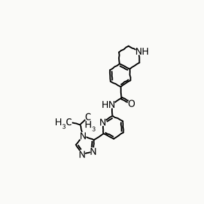 CC(C)n1cnnc1-c1cccc(NC(=O)c2ccc3c(c2)CNCC3)n1